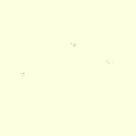 CSc1ccc(N)c(-c2cccc(N)c2)c1